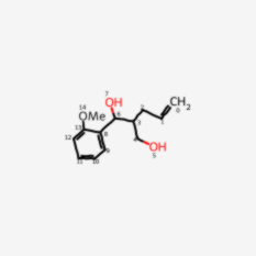 C=CCC(CO)C(O)c1ccccc1OC